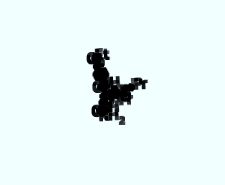 CCC(=O)OCc1ccc(NC(=O)[C@H](CCCNC(N)=O)NC(=O)[C@@H](NC(=O)CCC(C)C)C(C)C)cc1